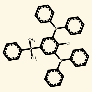 CS(C)(c1ccccc1)c1cc(N(c2ccccc2)c2ccccc2)c(Cl)c(N(c2ccccc2)c2ccccc2)c1